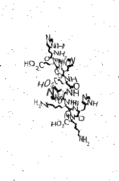 NCCCC[C@H](NC(=O)[C@H](Cc1cnc[nH]1)NC(=O)[C@H](CCCCN)NC(=O)[C@H](Cc1cnc[nH]1)NC(=O)[C@H](CCC(=O)O)NC(=O)[C@H](Cc1cnc[nH]1)NC(=O)[C@H](CCC(=O)O)NC(=O)[C@@H](N)Cc1cnc[nH]1)C(=O)O